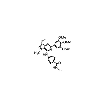 CCCCNC(=O)c1ccc(Nc2nc(-c3cc(OC)c(OC)c(OC)c3)nc3c(CCC)nn(C)c23)cc1